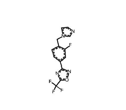 Fc1cc(-c2noc(C(F)(F)F)n2)ccc1Cn1ccnc1